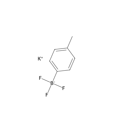 Cc1ccc([B-](F)(F)F)cc1.[K+]